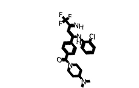 CN(C)C1CCN(C(=O)c2ccc(/C(=C/C(=N)C(F)(F)F)Nc3ccccc3Cl)cc2)CC1